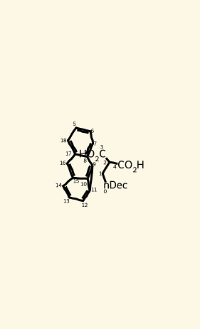 CCCCCCCCCCCC(C(=O)O)C(=O)O.c1ccc2c3c4c-3cccc4cc2c1